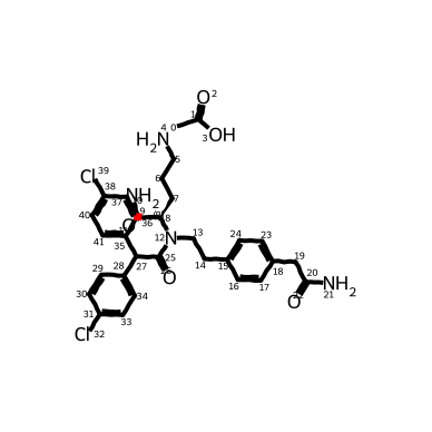 CC(=O)O.NCCC[C@H](C(N)=O)N(CCc1ccc(CC(N)=O)cc1)C(=O)C(c1ccc(Cl)cc1)c1ccc(Cl)cc1